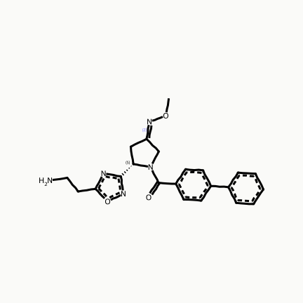 CO/N=C1/C[C@@H](c2noc(CCN)n2)N(C(=O)c2ccc(-c3ccccc3)cc2)C1